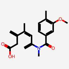 C=C(CC(=O)O)/C(C)=C\C(=C)N(C)C(=O)c1ccc(C)c(OC)c1